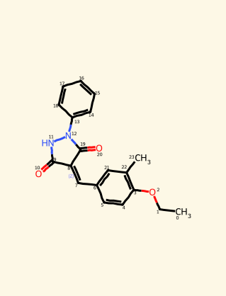 CCOc1ccc(/C=C2/C(=O)NN(c3ccccc3)C2=O)cc1C